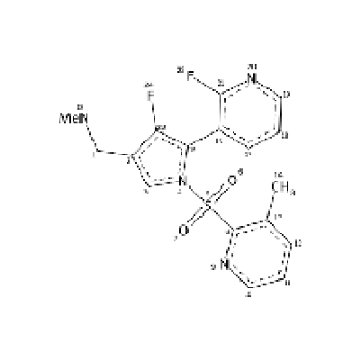 CNCc1cn(S(=O)(=O)c2ncccc2C)c(-c2cccnc2F)c1F